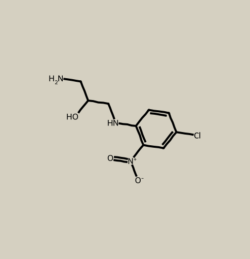 NCC(O)CNc1ccc(Cl)cc1[N+](=O)[O-]